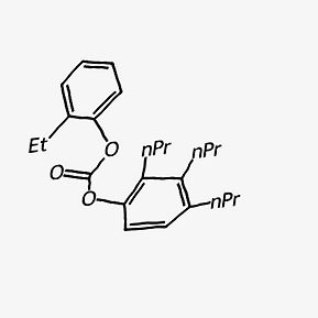 CCCc1ccc(OC(=O)Oc2ccccc2CC)c(CCC)c1CCC